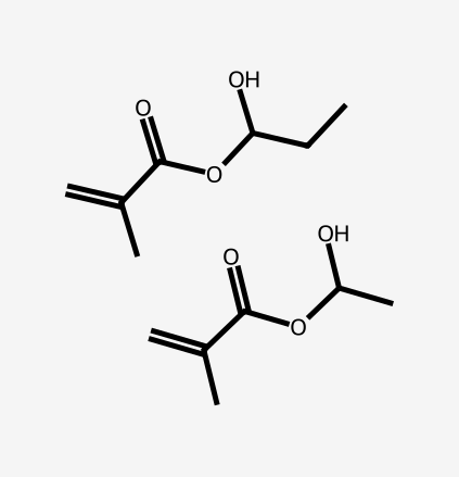 C=C(C)C(=O)OC(C)O.C=C(C)C(=O)OC(O)CC